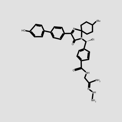 CC[C@H](c1ccc(C(=O)NC/C(N)=N/NN)cc1)N1C(=O)C(c2ccc(-c3ccc(O)cc3)cc2)=NC12CCC(C(C)(C)C)CC2